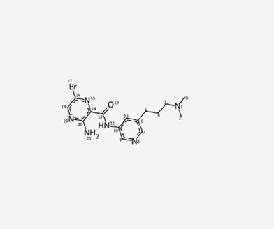 CN(C)CCCc1cncc(NC(=O)c2nc(Br)cnc2N)c1